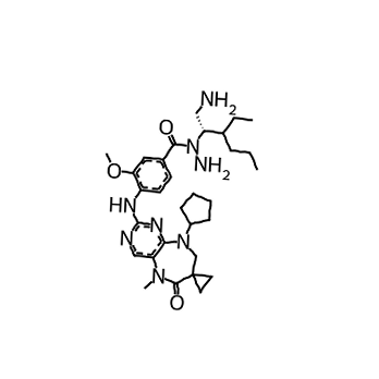 CCCC(CC)[C@@H](CN)N(N)C(=O)c1ccc(Nc2ncc3c(n2)N(C2CCCC2)CC2(CC2)C(=O)N3C)c(OC)c1